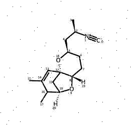 [C-]#[N+][C@H](C)C[C@H]1CC[C@@H]2O[C@@H]3C[C@]2(C=C(C)C3C)O1